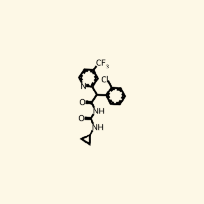 O=C(NC(=O)C(c1cc(C(F)(F)F)ccn1)c1ccccc1Cl)NC1CC1